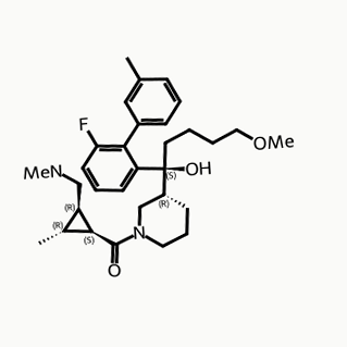 CNC[C@@H]1[C@@H](C)[C@@H]1C(=O)N1CCC[C@@H]([C@@](O)(CCCCOC)c2cccc(F)c2-c2cccc(C)c2)C1